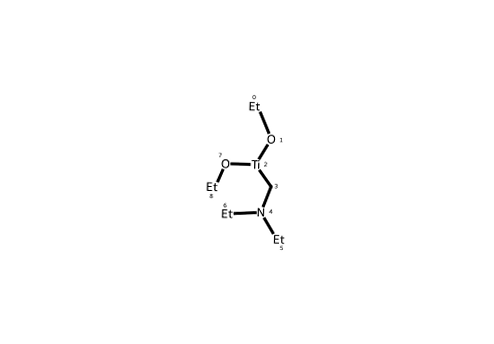 CC[O][Ti]([CH2]N(CC)CC)[O]CC